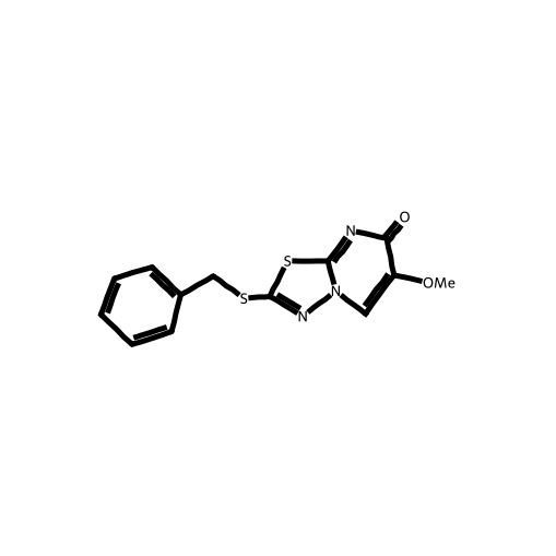 COc1cn2nc(SCc3ccccc3)sc2nc1=O